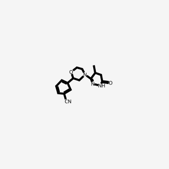 CC1CC(=O)NN=C1N1CCOC(c2cccc(C#N)c2)C1